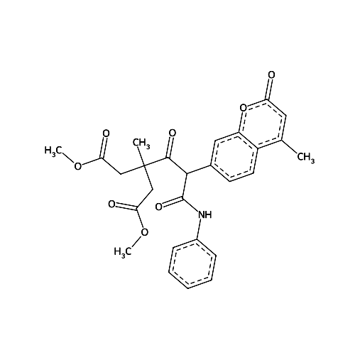 COC(=O)CC(C)(CC(=O)OC)C(=O)C(C(=O)Nc1ccccc1)c1ccc2c(C)cc(=O)oc2c1